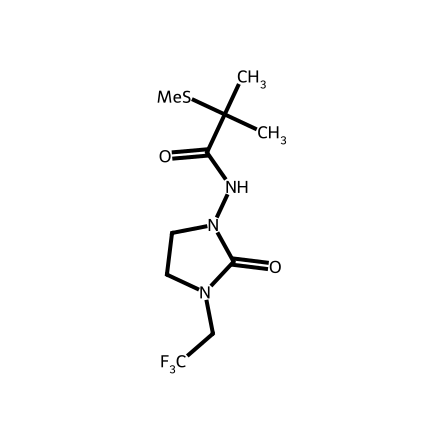 CSC(C)(C)C(=O)NN1CCN(CC(F)(F)F)C1=O